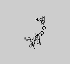 CCc1nc2c(cnn2CC)c(NC2CCOCC2)c1CNC(=O)NCc1cccc(-c2cccc(CN3CCN[C@H](C)C3)c2)c1